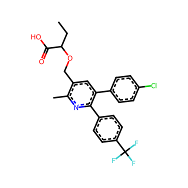 CCC(OCc1cc(-c2ccc(Cl)cc2)c(-c2ccc(C(F)(F)F)cc2)nc1C)C(=O)O